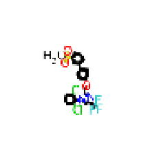 CS(=O)(=O)c1cccc(-c2ccc(OCc3nc(C(F)(F)F)cn3-c3c(Cl)cccc3Cl)cc2)c1